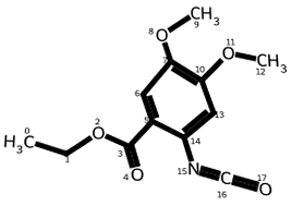 CCOC(=O)c1cc(OC)c(OC)cc1N=C=O